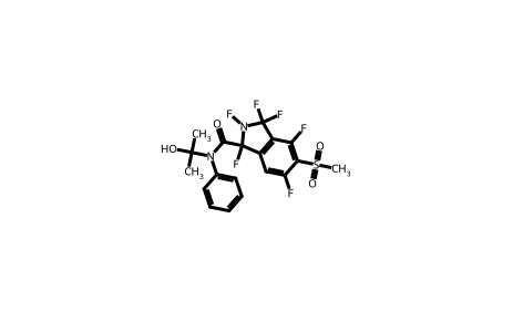 CC(C)(O)N(C(=O)C1(F)c2cc(F)c(S(C)(=O)=O)c(F)c2C(F)(F)N1F)c1ccccc1